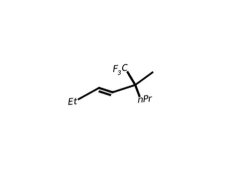 CCC=CC(C)(CCC)C(F)(F)F